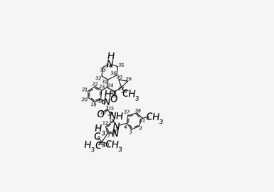 Cc1ccc(-n2nc(C(C)(C)C)cc2NC(=O)Nc2ccccc2C(C(=O)C2(C)CC2)C2CCNCC2)cc1